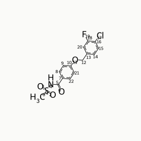 CS(=O)(=O)NC(=O)c1ccc(OCc2ccc(Cl)c(F)c2)cc1